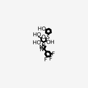 OC[C@H]1O[C@H](Sc2cccc(O)c2)[C@H](O)[C@@H](n2cc(-c3cc(F)c(F)c(F)c3)nn2)[C@H]1O